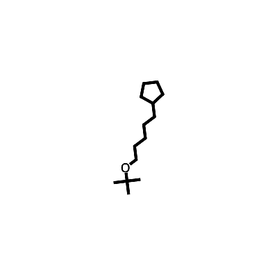 CC(C)(C)OCCCCCC1CCCC1